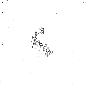 CC(NC(=O)c1cc(NCCNc2nccs2)ncn1)c1ncc(C(=O)Nc2cc(C(F)(F)F)c(Cl)cn2)s1